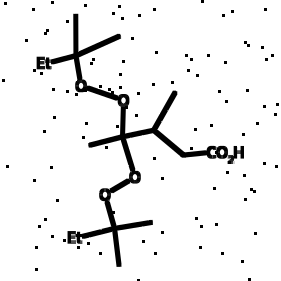 CCC(C)(C)OOC(C)(OOC(C)(C)CC)C(C)CC(=O)O